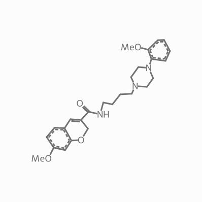 COc1ccc2c(c1)OCC(C(=O)NCCCCN1CCN(c3ccccc3OC)CC1)=C2